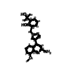 COc1cccc2c(-c3cn(Cc4cccc(C(C)(C)O)[n+]4O)nn3)cc(N)nc12